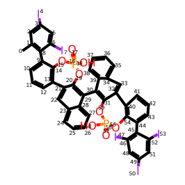 Cc1cc(I)cc(I)c1-c1cccc2c1OP(=O)(O)Oc1c-2cc2ccccc2c1-c1c2c(cc3ccccc13)-c1cccc(-c3c(I)cc(I)cc3I)c1OP(=O)(O)O2